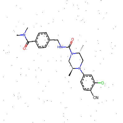 C[C@@H]1CN(c2ccc(C#N)c(Cl)c2)[C@@H](C)CN1C(=O)NCc1ccc(C(=O)N(C)C)cc1